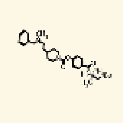 CN(CCC1CCN(C(=O)Oc2ccc(C(=O)NC(C)(C)CC(C)(C)C)cc2)CC1)Cc1ccccc1